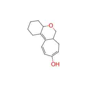 OC1=CCC2COC3CCCCC3=C2C=C1